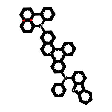 c1ccc(-c2ccccc2N(c2ccccc2)c2ccc3c(ccc4c5ccc(N(c6ccccc6)c6cccc7c6oc6ccccc67)cc5c5ccccc5c34)c2)cc1